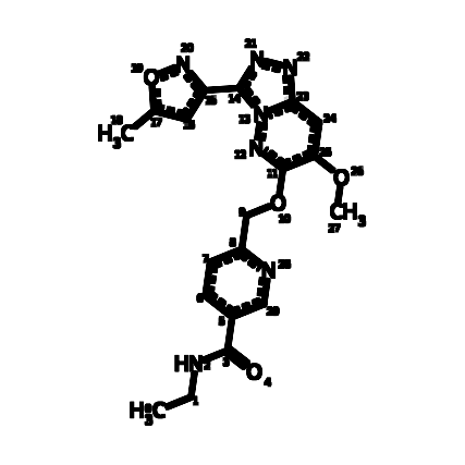 CCNC(=O)c1ccc(COc2nn3c(-c4cc(C)on4)nnc3cc2OC)nc1